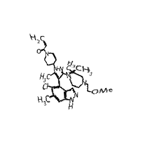 C=CC(=O)N1CCC(n2nc(N3CCN(CCOC)CC3(C)C)c(-c3c(Cl)c(C)cc4[nH]ncc34)c2C)CC1